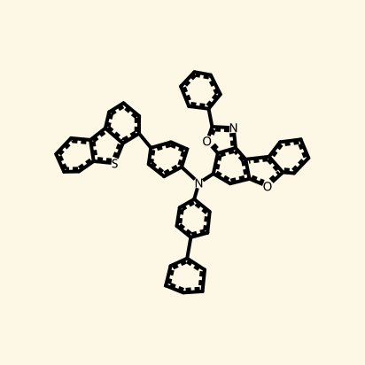 c1ccc(-c2ccc(N(c3ccc(-c4cccc5c4sc4ccccc45)cc3)c3cc4oc5ccccc5c4c4nc(-c5ccccc5)oc34)cc2)cc1